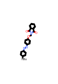 CCCCc1ccc(N=Nc2ccc(OCN3C(=O)c4ccccc4C3=O)cc2)cc1